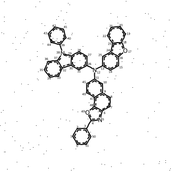 c1ccc(-c2nc3ccc4cc(N(c5ccc6oc7ccccc7c6c5)c5ccc6c(c5)c5ccccc5n6-c5ccccc5)ccc4c3o2)cc1